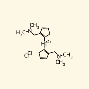 CN(C)CC1=[C]([Hf+2][C]2=C(CN(C)C)C=CC2)CC=C1.[Cl-].[Cl-]